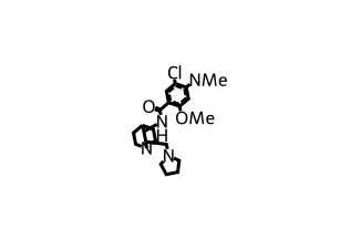 CNc1cc(OC)c(C(=O)NC2C3CCN(CC3)C2CN2CCCC2)cc1Cl